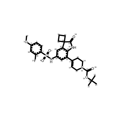 COc1ccc(S(=O)(=O)Nc2cc(C3=CCN(C(=O)OC(C)(C)C)CC3)c3c(c2)C2(CCC2)C(=O)N3)c(F)c1